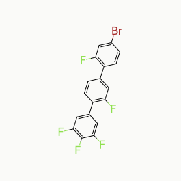 Fc1cc(Br)ccc1-c1ccc(-c2cc(F)c(F)c(F)c2)c(F)c1